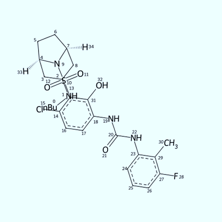 CCCCNC1C[C@H]2CC[C@@H](C1)N2S(=O)(=O)c1c(Cl)ccc(NC(=O)Nc2cccc(F)c2C)c1O